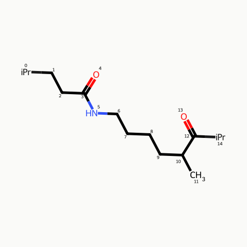 CC(C)CCC(=O)NCCCCC(C)C(=O)C(C)C